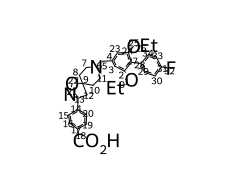 CCOc1cc(CN2CCC3(CC2)CC(c2ccc(C(=O)O)cc2)=NO3)cc(OCC)c1-c1ccc(F)cc1